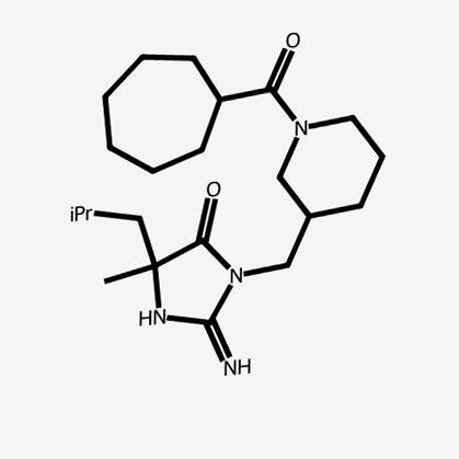 CC(C)CC1(C)NC(=N)N(CC2CCCN(C(=O)C3CCCCCC3)C2)C1=O